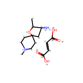 CC1OC2(CCN(C)CC2)CC1N.O=C(O)C=CC(=O)O